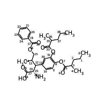 CCCC(C)C(=O)Oc1ccc(C(C(C)COC(=O)c2ccccc2)[C@H](N)C(=O)O)cc1OC(=O)C(C)CCC